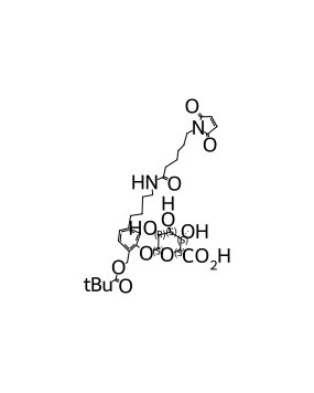 CC(C)(C)C(=O)OCc1ccc(CCCCNC(=O)CCCCCN2C(=O)C=CC2=O)cc1O[C@@H]1O[C@H](C(=O)O)[C@@H](O)[C@H](O)[C@H]1O